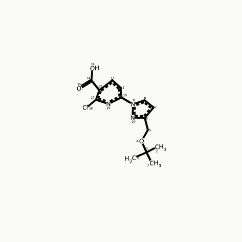 CC(C)(C)OCc1ccn(-c2ccc(C(=O)O)c(Cl)n2)n1